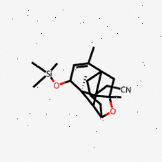 CC1=CC(O[Si](C)(C)C)[C@@](C)(CCC#N)C2C3CC4CC12CC4(C)O3